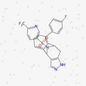 O=S(=O)(c1ccc(C(F)(F)F)nc1)N1C2Cc3[nH]ncc3C1c1cccc(-c3ccc(F)cc3)c12